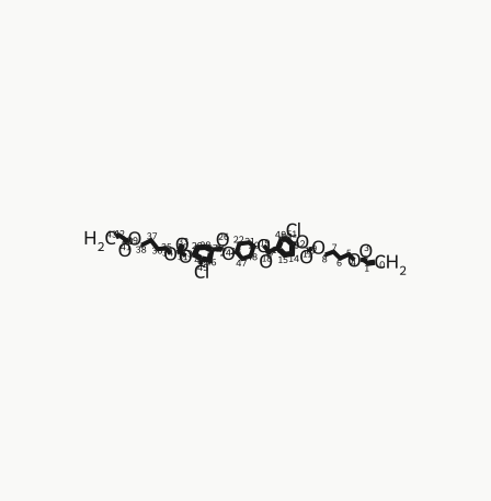 C=CC(=O)OCCCCOC(=O)Oc1ccc(C(=O)O[C@H]2CC[C@H](OC(=O)c3ccc(OC(=O)OCCCCOC(=O)C=C)c(Cl)c3)CC2)cc1Cl